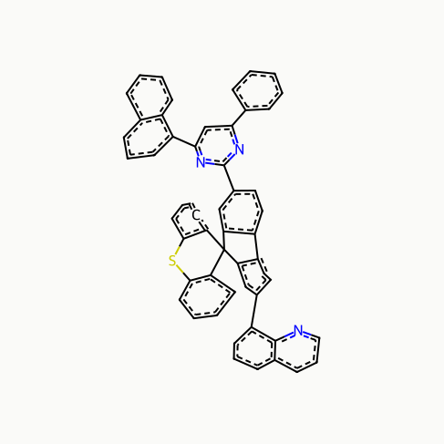 c1ccc(-c2cc(-c3cccc4ccccc34)nc(-c3ccc4c(c3)C3(c5ccccc5Sc5ccccc53)c3cc(-c5cccc6cccnc56)ccc3-4)n2)cc1